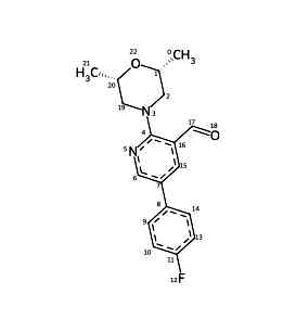 C[C@@H]1CN(c2ncc(-c3ccc(F)cc3)cc2C=O)C[C@H](C)O1